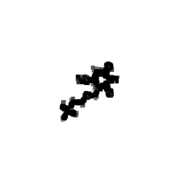 C[Si](C)(C)CCOCn1c(C#N)cc(=O)[nH]c1=O